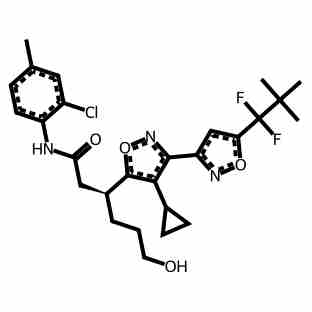 Cc1ccc(NC(=O)C[C@H](CCCO)c2onc(-c3cc(C(F)(F)C(C)(C)C)on3)c2C2CC2)c(Cl)c1